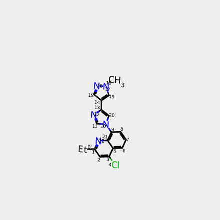 CCc1cc(Cl)c2cccc(-n3cnc(-c4cnn(C)c4)c3)c2n1